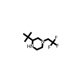 CC(C)(C)C1CN(CC(F)(F)F)CCN1